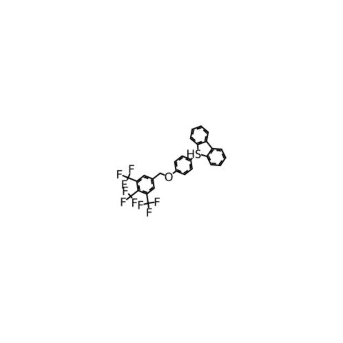 FC(F)(F)c1cc(COc2ccc([SH]3c4ccccc4-c4ccccc43)cc2)cc(C(F)(F)F)c1C(F)(F)F